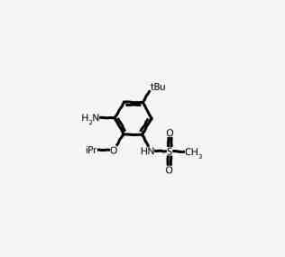 CC(C)Oc1c(N)cc(C(C)(C)C)cc1NS(C)(=O)=O